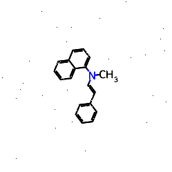 CN(C=Cc1ccccc1)c1cccc2ccccc12